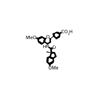 COc1ccc2c(c1)CC[C@@]2(C)C(=O)N[C@@H]1C[C@H](c2ccc(C(=O)O)cc2)Oc2cc(OC)ccc21